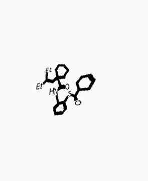 CCC(CC)CC1(C(=O)Nc2ccccc2SC(=O)C2CC=CCC2)CCCCC1